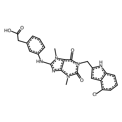 Cn1c(Nc2cccc(CC(=O)O)c2)nc2c1c(=O)n(Cc1cc3c(Cl)cccc3[nH]1)c(=O)n2C